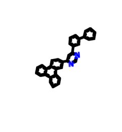 c1ccc(-c2cccc(-c3cc(-c4ccc5c6ccccc6c6ccccc6c5c4)ncn3)c2)cc1